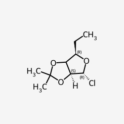 CC[C@H]1O[C@H](Cl)[C@H]2OC(C)(C)OC12